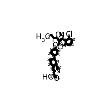 CCCc1onc(-c2c(Cl)cccc2Cl)c1COc1ccc(-c2ccc3cc(C(=O)O)ncc3c2)cc1